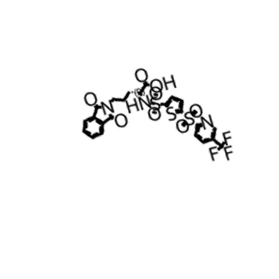 O=C(O)[C@@H](CCCN1C(=O)c2ccccc2C1=O)NS(=O)(=O)c1ccc(S(=O)(=O)c2ccc(C(F)(F)F)cn2)s1